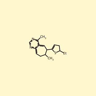 CCC1CC=C(C2C=c3c(C)ncnc3=CCC2C)S1